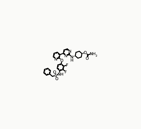 NC(=O)O[C@H]1CC[C@H](Nc2nccc(-c3cccnc3Oc3ccc(NS(=O)(=O)Cc4ccccc4)c(F)c3F)n2)CC1